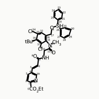 CCOC(=O)c1ccc(C=CC(=O)NCC(=O)N(C)c2c(CO[SiH](c3ccccc3)c3ccccc3)cc(Cl)c(C(C)(C)C)c2Cl)cn1